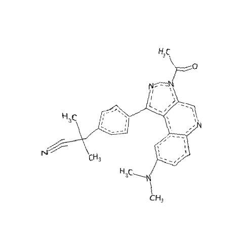 CC(=O)n1nc(-c2ccc(C(C)(C)C#N)cc2)c2c3cc(N(C)C)ccc3ncc21